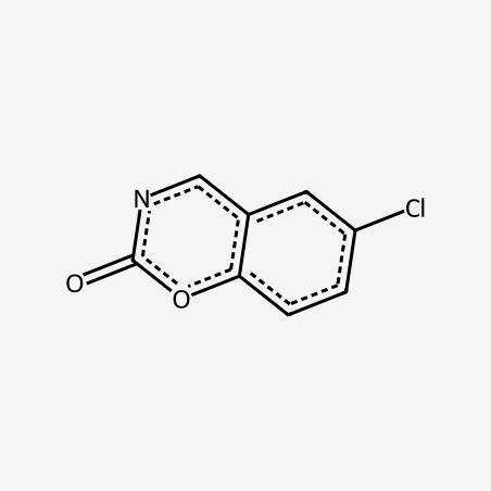 O=c1ncc2cc(Cl)ccc2o1